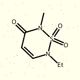 CCN1C=CC(=O)N(C)S1(=O)=O